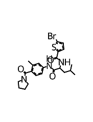 Cc1cc(NC(=O)C(CC(C)C)NC(=O)c2ccc(Br)s2)ccc1C(=O)N1CCCC1